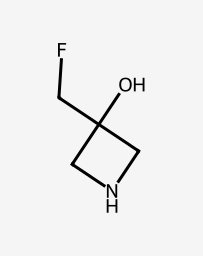 OC1(CF)CNC1